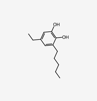 CCCCCc1cc(CC)cc(O)c1O